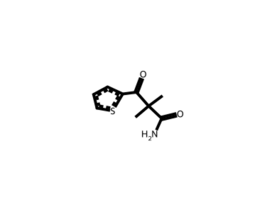 CC(C)(C(N)=O)C(=O)c1cccs1